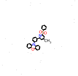 Cc1cc(-c2cccc(N3c4ccccc4Oc4ccccc43)c2)nc(S(=O)(=O)c2ccccc2)c1